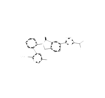 COc1ncc(Cl)cc1-c1ccccc1N1Cc2ccc(-c3nnc(C(F)F)o3)cc2C1=O